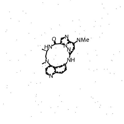 CNc1cc2nn3c(cnc13)C(=O)N[C@H](C)CN(C)c1ccnc3ccc(cc13)N2